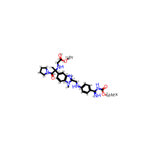 CCCCCCOC(=O)NC(=N)c1ccc(NCc2nc3cc(C(C)(NCC(=O)OC(C)C)C(=O)N4CCCC4)ccc3n2C)cc1